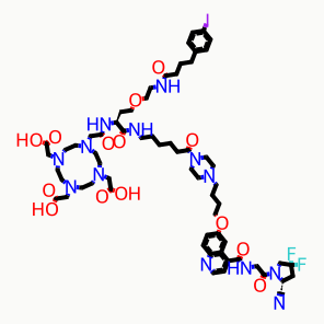 N#C[C@H]1CC(F)(F)CN1C(=O)CNC(=O)c1ccnc2ccc(OCCCCN3CCN(C(=O)CCCCCNC(=O)[C@H](CCOCCNC(=O)CCCc4ccc(I)cc4)NC(=O)CN4CCN(CC(=O)O)CCN(CC(=O)O)CCN(CC(=O)O)CC4)CC3)cc12